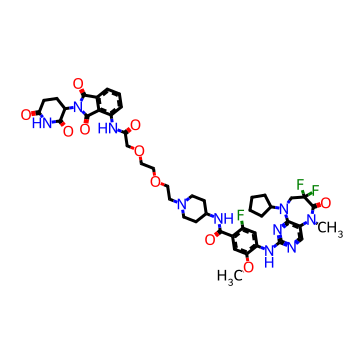 COc1cc(C(=O)NC2CCN(CCOCCOCC(=O)Nc3cccc4c3C(=O)N(C3CCC(=O)NC3=O)C4=O)CC2)c(F)cc1Nc1ncc2c(n1)N(C1CCCC1)CC(F)(F)C(=O)N2C